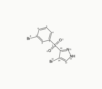 O=S(=O)(c1cccc(Br)c1)c1n[nH]cc1Br